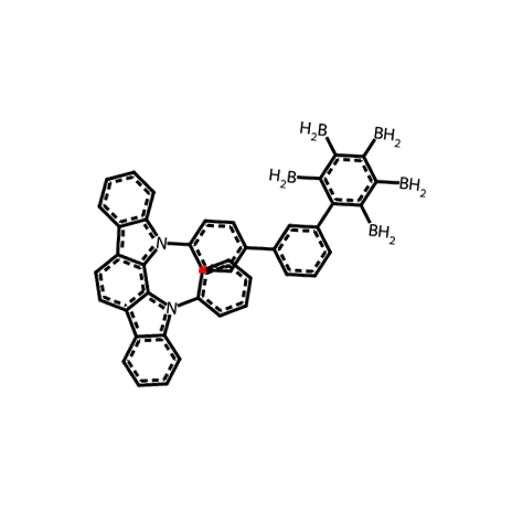 Bc1c(B)c(B)c(-c2cccc(-c3ccc(-n4c5ccccc5c5ccc6c7ccccc7n(-c7ccccc7)c6c54)cc3)c2)c(B)c1B